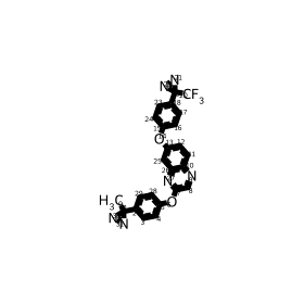 CC1(c2ccc(Oc3cnc4ccc(Oc5ccc(C6(C(F)(F)F)N=N6)cc5)cc4n3)cc2)N=N1